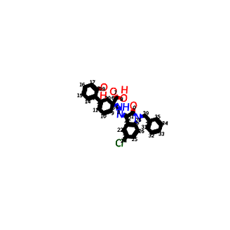 O=C1C(=NNC2(C(=O)O)C=CC=C(c3ccccc3O)C2)c2cc(Cl)ccc2N1Cc1ccccc1